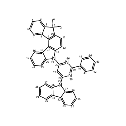 CC1(C)c2ccccc2-c2c1ccc1c2c2ccccc2n1-c1cc(-n2c3ccccc3c3ccccc32)nc(-c2ccccc2)n1